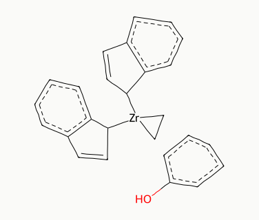 C1=C[CH]([Zr]2([CH]3C=Cc4ccccc43)[CH2][CH2]2)c2ccccc21.Oc1ccccc1